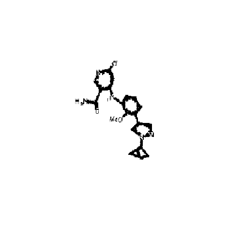 COc1c(Nc2cc(Cl)ncc2C(N)=O)cccc1-c1cnn(C23CC(C2)C3)c1